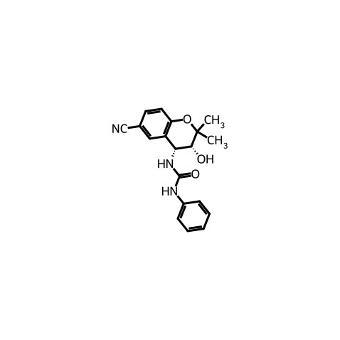 CC1(C)Oc2ccc(C#N)cc2[C@@H](NC(=O)Nc2ccccc2)[C@H]1O